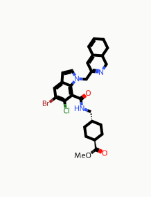 COC(=O)[C@H]1CC[C@H](CNC(=O)c2c(Cl)c(Br)cc3ccn(CC4=NCC5CCC=CC5=C4)c23)CC1